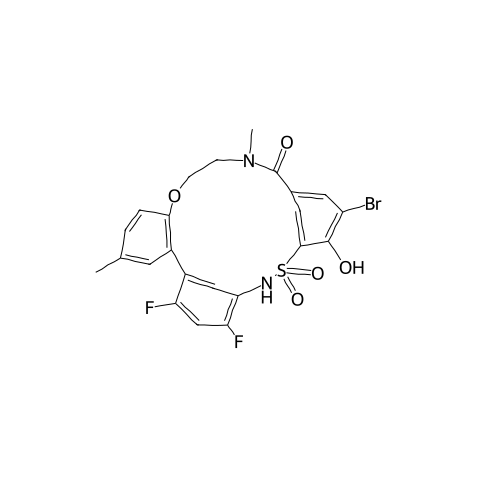 Cc1ccc2c(c1)-c1cc(c(F)cc1F)NS(=O)(=O)c1cc(cc(Br)c1O)C(=O)N(C)CCO2